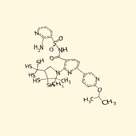 CC(C)Oc1ccc(-c2ccc(C(=O)NS(=O)(=O)c3cccnc3N)c(N3CC(C(S)(S)S)C(S)(S)C3(C)C)n2)cn1